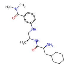 C[C@@H](CNc1cccc(C(=O)N(C)C)c1)NC(=O)[C@@H](N)CC1CCCCC1